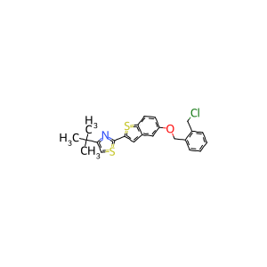 CC(C)(C)c1csc(-c2cc3cc(OCc4ccccc4CCl)ccc3s2)n1